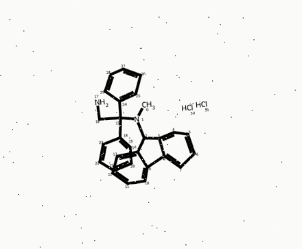 CN(C1c2ccccc2-c2ccccc21)C(CN)(c1ccccc1)c1ccccc1.Cl.Cl